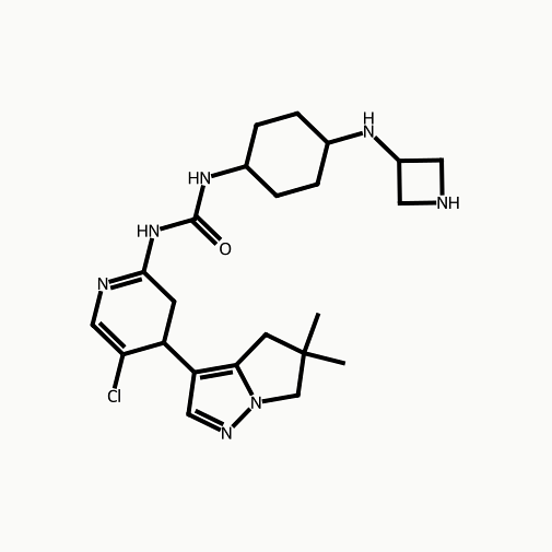 CC1(C)Cc2c(C3CC(NC(=O)NC4CCC(NC5CNC5)CC4)=NC=C3Cl)cnn2C1